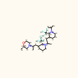 CC(CC1CCCN(C(C)CC2CCCN(C(C)C)[C@@H]2C(F)(F)F)[C@H]1C(F)(F)F)N1CCO[C@H](C)C1